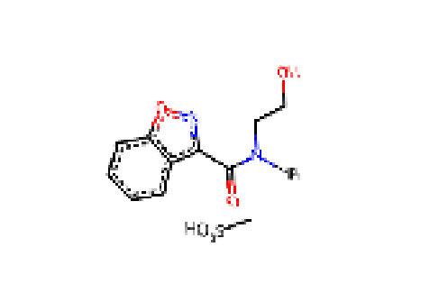 CC(C)N(CCO)C(=O)c1noc2ccccc12.CS(=O)(=O)O